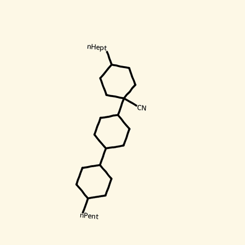 CCCCCCCC1CCC(C#N)(C2CCC(C3CCC(CCCCC)CC3)CC2)CC1